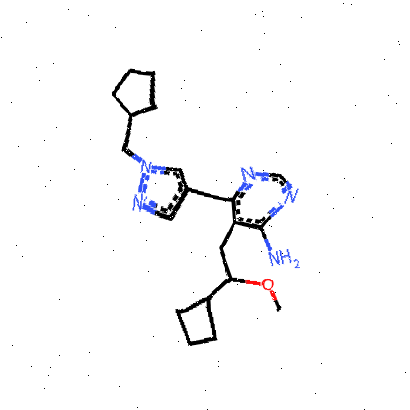 COC(Cc1c(N)ncnc1-c1cnn(CC2CCCC2)c1)C1CCC1